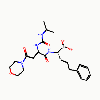 CC(C)NC(=O)NC(CC(=O)N1CCOCC1)C(=O)N[C@@H](CCCc1ccccc1)B(O)O